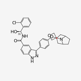 O=C(N[C@@H](O)c1ccccc1Cl)c1ccc2[nH]nc(-c3ccc(OC4CC5CCC(C4)N5C4COC4)cc3)c2c1